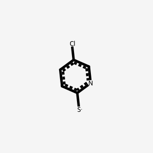 [S]c1ccc(Cl)cn1